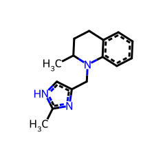 Cc1nc(CN2c3ccccc3CCC2C)c[nH]1